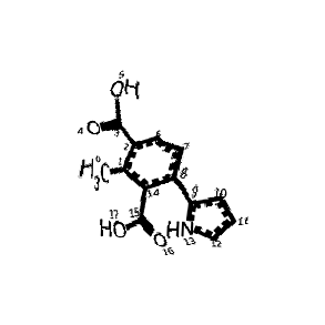 Cc1c(C(=O)O)ccc(-c2ccc[nH]2)c1C(=O)O